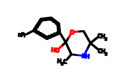 CCCc1cccc(C2(O)OCC(C)(C)NC2C)c1